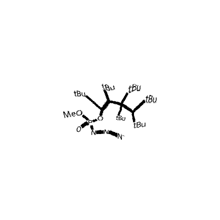 COP(=O)(N=[N+]=[N-])OC(C(C(C)(C)C)C(C(C(C)(C)C)C(C)(C)C)(C(C)(C)C)C(C)(C)C)C(C)(C)C